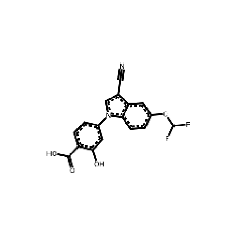 N#Cc1cn(-c2ccc(C(=O)O)c(O)c2)c2ccc(OC(F)F)cc12